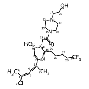 C/C(Cl)=C\C=C(/C)C1=C[C@H](O)N(CC(=O)N2CCN(CCO)CC2)C(CCCCC(F)(F)F)=N1